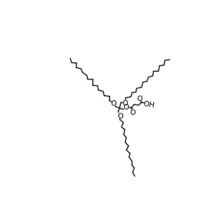 CCCCCCCCCCCCCCCCOCC(COCCCCCCCCCCCCCCCC)(COCCCCCCCCCCCCCCCC)COC(=O)CCC(=O)O